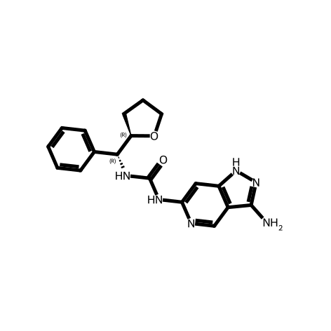 Nc1n[nH]c2cc(NC(=O)N[C@H](c3ccccc3)[C@H]3CCCO3)ncc12